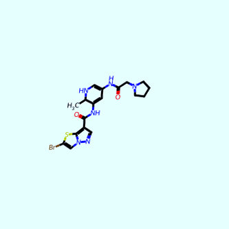 CC1NC=C(NC(=O)CN2CCCC2)C=C1NC(=O)c1cnn2cc(Br)sc12